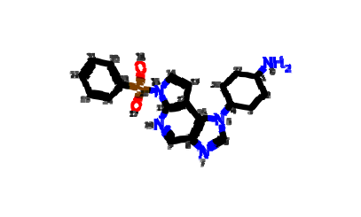 NC1CCC(n2cnc3cnc4c(ccn4S(=O)(=O)c4ccccc4)c32)CC1